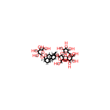 C=C1C[C@@]23CCC4[C@](C)(C(=O)OC5OC(CO)C(O)C(O)C5O)CCC[C@@]4(C)[C@@H]2CCC1(OC1OC(CO)C(O)C(OC2OC(CO)C(O)C(O)C2O)C1OC1OC(CO)C(O)C(O)C1O)C3